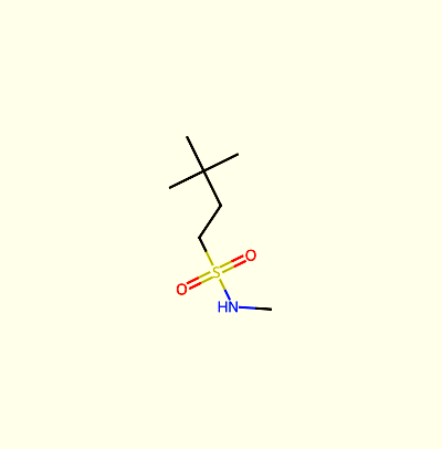 CNS(=O)(=O)CCC(C)(C)C